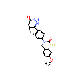 COc1ccc(CN(C(=O)S)c2ccc(C3=NNC(=O)CC3C)cc2)cc1